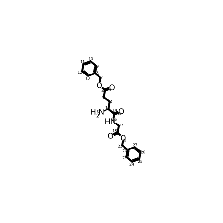 N[C@@H](CCC(=O)OCc1ccccc1)C(=O)NCC(=O)OCc1ccccc1